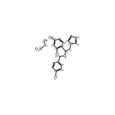 CC(C)O[N+](=O)[O-].Clc1ccc(COC(Cn2ccnc2)c2ccc(Cl)cc2Cl)cc1